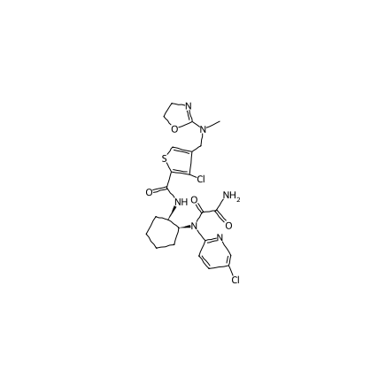 CN(Cc1csc(C(=O)N[C@@H]2CCCC[C@@H]2N(C(=O)C(N)=O)c2ccc(Cl)cn2)c1Cl)C1=NCCO1